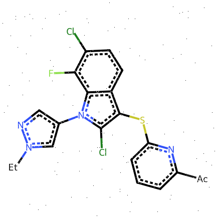 CCn1cc(-n2c(Cl)c(Sc3cccc(C(C)=O)n3)c3ccc(Cl)c(F)c32)cn1